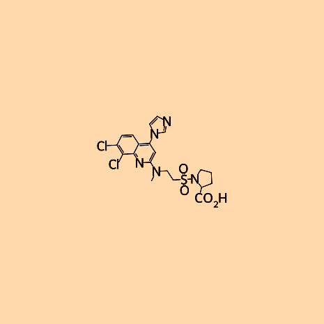 CN(CCS(=O)(=O)N1CCCC1C(=O)O)c1cc(-n2ccnc2)c2ccc(Cl)c(Cl)c2n1